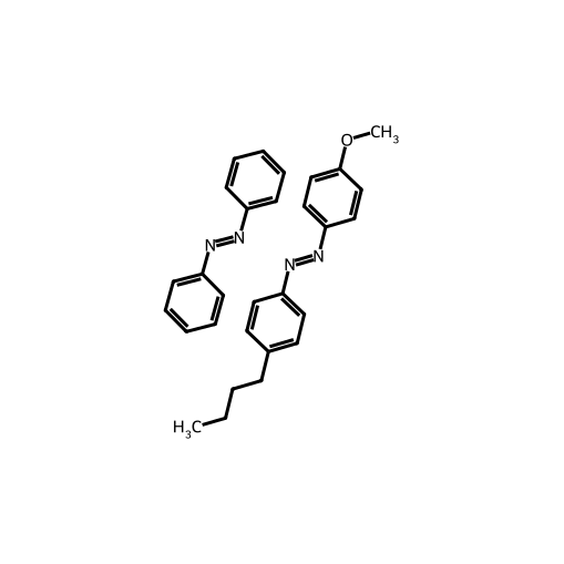 CCCCc1ccc(N=Nc2ccc(OC)cc2)cc1.c1ccc(N=Nc2ccccc2)cc1